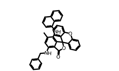 Cc1cc(NCc2ccccc2)c2c(c1Nc1cccc3ccccc13)C1(OC2=O)c2ccccc2Oc2ccccc21